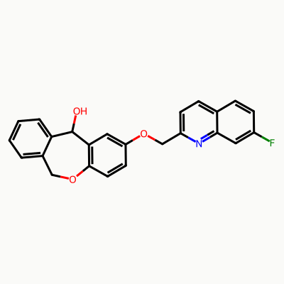 OC1c2ccccc2COc2ccc(OCc3ccc4ccc(F)cc4n3)cc21